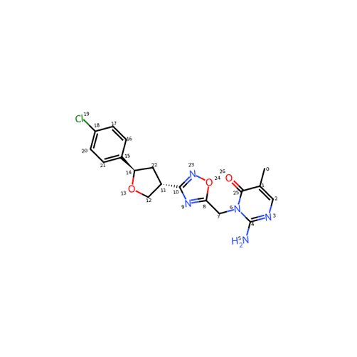 Cc1cnc(N)n(Cc2nc([C@@H]3CO[C@@H](c4ccc(Cl)cc4)C3)no2)c1=O